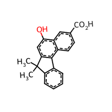 CC1(C)c2ccccc2-c2c1cc(O)c1cc(C(=O)O)ccc21